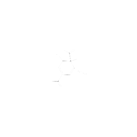 O=C([O-])C1=CC(O)C(O)(C(=O)[O-])C=C1.[Na+].[Na+]